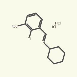 CC(C)(C)c1cccc(C=NC2CCCCC2)[c]1[Ti].Cl.Cl